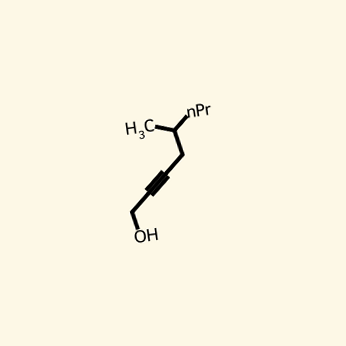 CCCC(C)CC#CCO